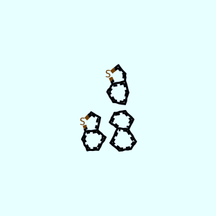 c1ccc2ccccc2c1.c1ccc2sccc2c1.c1ccc2sccc2c1